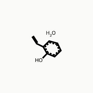 C=Cc1ccccc1O.O